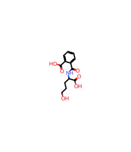 O=C(O)c1ccccc1C(=O)NC(CCCO)C(=O)O